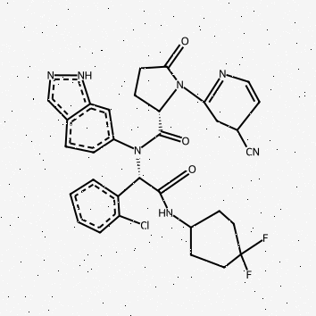 N#CC1C=CN=C(N2C(=O)CC[C@H]2C(=O)N(c2ccc3cn[nH]c3c2)[C@H](C(=O)NC2CCC(F)(F)CC2)c2ccccc2Cl)C1